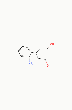 Nc1ccccc1C(CCO)CCO